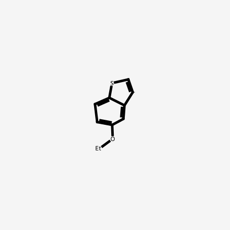 CCOc1ccc2sc[c]c2c1